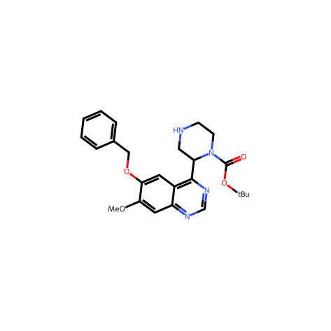 COc1cc2ncnc(C3CNCCN3C(=O)OC(C)(C)C)c2cc1OCc1ccccc1